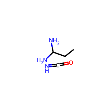 CCC(N)N.N=C=O